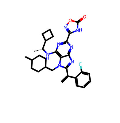 C=C(c1ccccc1F)c1nc2nc(-c3noc(=O)[nH]3)nc(N[C@H](C)C3CCC3)c2n1CC1CCC(C)CC1